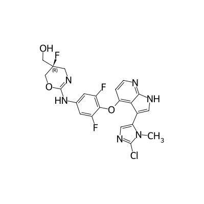 Cn1c(-c2c[nH]c3nccc(Oc4c(F)cc(NC5=NC[C@@](F)(CO)CO5)cc4F)c23)cnc1Cl